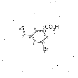 O=C(O)c1cc(Br)cc(C=S)c1